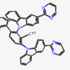 N#Cc1c(-n2c3ccccc3c3cc(-c4ncccn4)ccc32)ccc(-c2c(F)cccc2F)c1-n1c2ccccc2c2cc(-c3ncccn3)ccc21